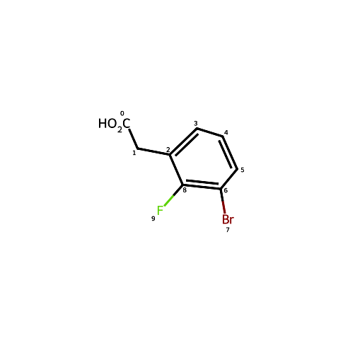 O=C(O)Cc1cccc(Br)c1F